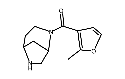 Cc1occc1C(=O)N1CCC2CC1CN2